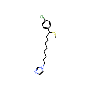 CSC(CCCCCCCCn1ccnc1)c1ccc(Cl)cc1